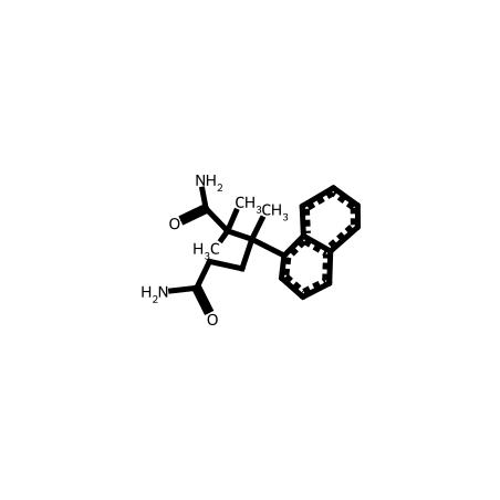 CC(C)(C(N)=O)C(C)(CCC(N)=O)c1cccc2ccccc12